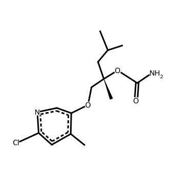 Cc1cc(Cl)ncc1OC[C@](C)(CC(C)C)OC(N)=O